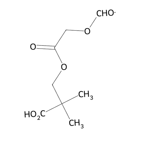 CC(C)(COC(=O)CO[C]=O)C(=O)O